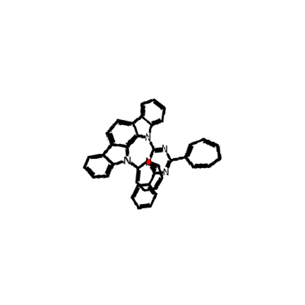 C1=CCC=CC(c2nc(-c3ccccc3)nc(-n3c4ccccc4c4ccc5c6ccccc6n(C6=CCC=CC=C6)c5c43)n2)=C1